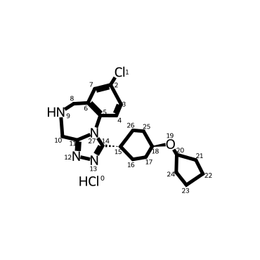 Cl.Clc1ccc2c(c1)CNCc1nnc([C@H]3CC[C@H](OC4CCCC4)CC3)n1-2